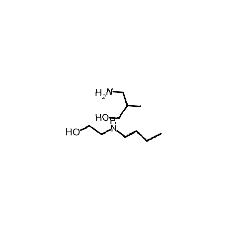 CC(CN)CO.CCCCNCCO